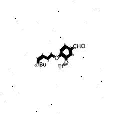 CCCC/C=C\CCOc1ccc(C=O)cc1OCC